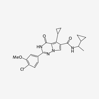 COc1cc(-c2nn3cc(C(=O)NC(C)C4CC4)c(C4CC4)c3c(=O)[nH]2)ccc1Cl